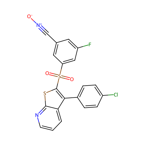 O=S(=O)(c1cc(F)cc(C#[N+][O-])c1)c1sc2ncccc2c1-c1ccc(Cl)cc1